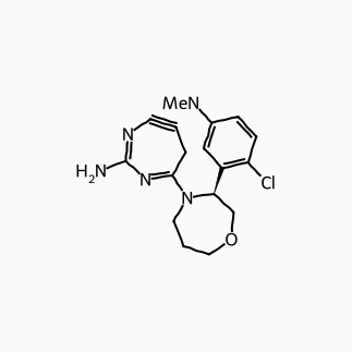 CNc1ccc(Cl)c([C@H]2COCCCN2C2=NC(N)=NC#CC2)c1